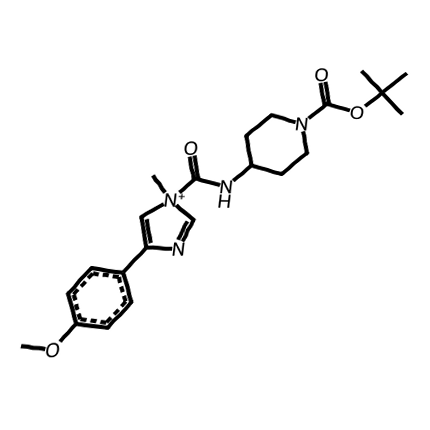 COc1ccc(C2=C[N+](C)(C(=O)NC3CCN(C(=O)OC(C)(C)C)CC3)C=N2)cc1